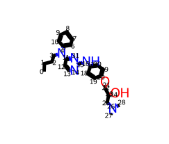 CCCCN(c1ccccc1)c1ccnc(Nc2ccc(OCC(O)CN(C)C)cc2)n1